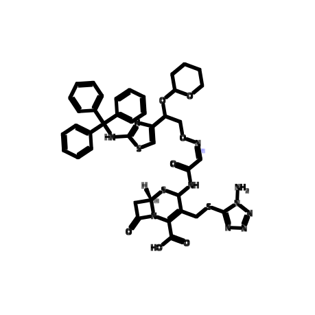 Nn1nnnc1SCC1=C(C(=O)O)N2C(=O)C[C@@H]2SC1NC(=O)/C=N\OCC(OC1CCCCO1)c1csc(NC(c2ccccc2)(c2ccccc2)c2ccccc2)n1